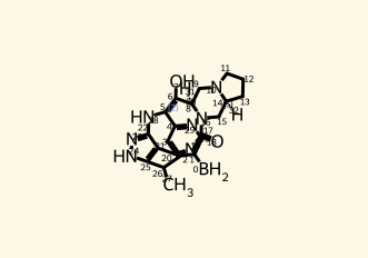 Bc1ccc(/C2=C(/O)[C@H]3CN4CCC[C@H]4CN3C(=O)N3Cc4c(n[nH]c4C3C)N2)nc1